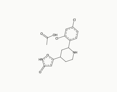 CC(=O)O.O=c1cc(C2CCNC(c3ccc(Cl)cc3Cl)C2)o[nH]1